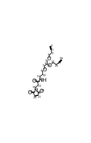 C#CCCOCC(COCCCNC(=O)CCN1C(=O)C=CC1=O)OCCC#C